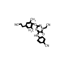 Cc1cc(CCC#N)cc(C)c1Oc1nc(Nc2ccc(C#N)cc2)c(=O)n(CC#N)n1